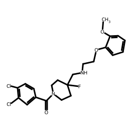 COc1ccccc1OCCNCC1(F)CCN(C(=O)c2ccc(Cl)c(Cl)c2)CC1